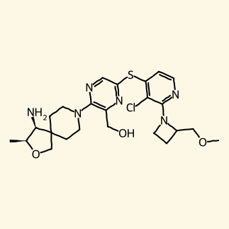 COCC1CCN1c1nccc(Sc2cnc(N3CCC4(CC3)CO[C@@H](C)[C@H]4N)c(CO)n2)c1Cl